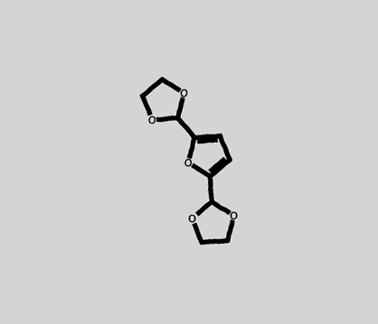 c1cc(C2OCCO2)oc1C1OCCO1